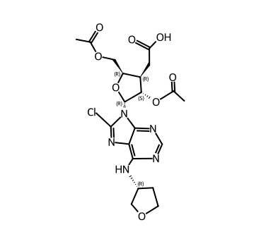 CC(=O)OC[C@@H]1O[C@@H](n2c(Cl)nc3c(N[C@@H]4CCOC4)ncnc32)[C@@H](OC(C)=O)[C@@H]1CC(=O)O